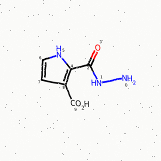 NNC(=O)c1[nH]ccc1C(=O)O